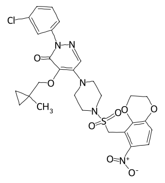 CC1(COc2c(N3CCN(S(=O)(=O)Cc4c([N+](=O)[O-])ccc5c4OCCO5)CC3)cnn(-c3cccc(Cl)c3)c2=O)CC1